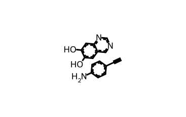 C#Cc1ccc(N)cc1.Oc1cc2cncnc2cc1O